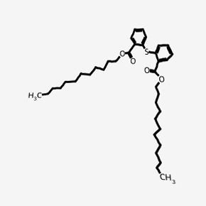 CCCCCCCCCCCCOC(=O)c1ccccc1Sc1ccccc1C(=O)OCCCCCCCCCCCC